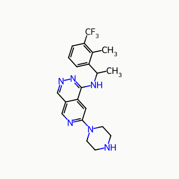 Cc1c(C(C)Nc2nncc3cnc(N4CCNCC4)cc23)cccc1C(F)(F)F